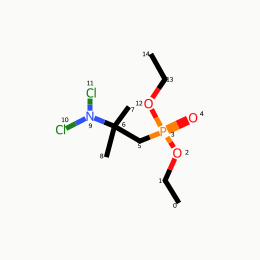 CCOP(=O)(CC(C)(C)N(Cl)Cl)OCC